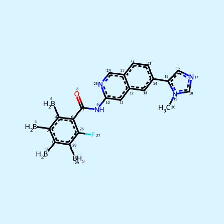 Bc1c(B)c(B)c(C(=O)Nc2cc3cc(-c4cncn4C)ccc3cn2)c(F)c1B